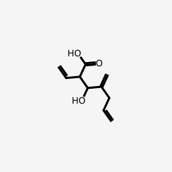 C=CCC(=C)[C](O)C(C=C)C(=O)O